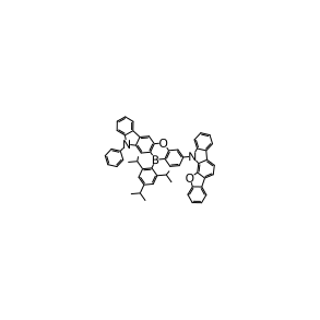 CC(C)c1cc(C(C)C)c(B2c3ccc(-n4c5ccccc5c5ccc6c7ccccc7oc6c54)cc3Oc3cc4c5ccccc5n(-c5ccccc5)c4cc32)c(C(C)C)c1